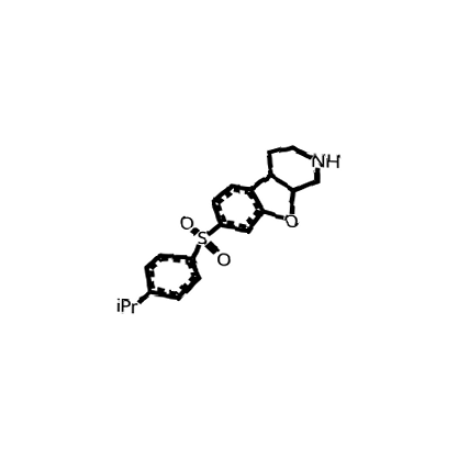 CC(C)c1ccc(S(=O)(=O)c2ccc3c(c2)OC2CNCCC32)cc1